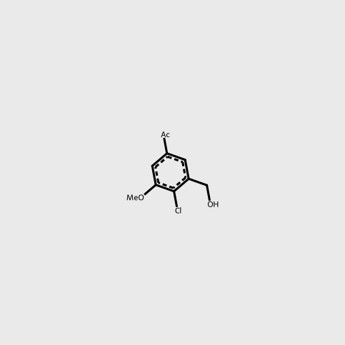 COc1cc(C(C)=O)cc(CO)c1Cl